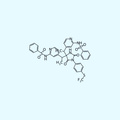 CC(c1ccnc(NS(=O)(=O)c2ccccc2)c1)C1(C(C)c2ccnc(NS(=O)(=O)c3ccccc3)c2)NC(=O)N(c2ccc(SC(F)(F)F)cc2)C1=O